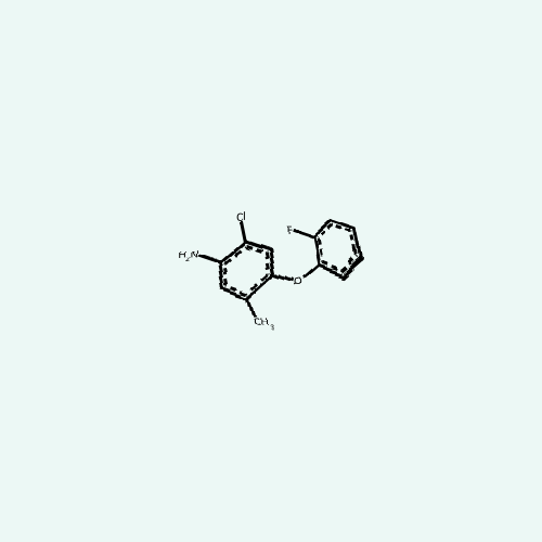 Cc1cc(N)c(Cl)cc1Oc1ccccc1F